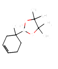 CC1(C)OB(C2(C(=O)O)CC=CCC2)OC1(C)C